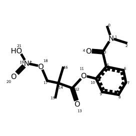 CN(C)C(=O)c1ccccc1OC(=O)C(C)(C)CO[N+](=O)O